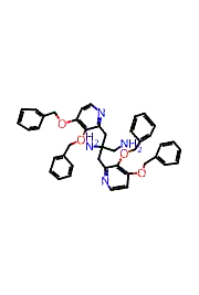 NCC(N)(Cc1nccc(OCc2ccccc2)c1OCc1ccccc1)Cc1nccc(OCc2ccccc2)c1OCc1ccccc1